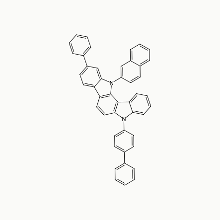 c1ccc(-c2ccc(-n3c4ccccc4c4c3ccc3c5ccc(-c6ccccc6)cc5n(-c5ccc6ccccc6c5)c34)cc2)cc1